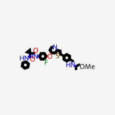 COCC(C)NCc1ccc(-c2cc3nccc(Oc4ccc(NC(=O)C5(C(=O)Nc6ccccc6)CC5)cc4F)c3s2)cc1